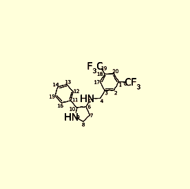 FC(F)(F)c1cc(CNC2CCNC2c2ccccc2)cc(C(F)(F)F)c1